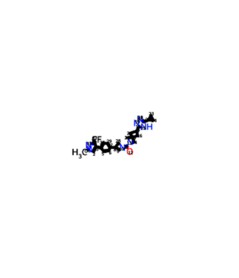 Cn1cc(-c2ccc(C3CN(C(=O)N4CC5(CC(c6nnc(C7CC7)[nH]6)C5)C4)C3)cc2)c(C(F)(F)F)n1